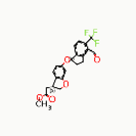 COC(=O)C[C@@H]1COc2cc(O[C@@H]3CCc4c3ccc(C(F)(F)F)c4C=O)ccc21